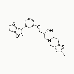 Cc1cc2c(s1)CCN(C[C@@H](O)COc1cccc(-c3noc4ccsc34)c1)C2